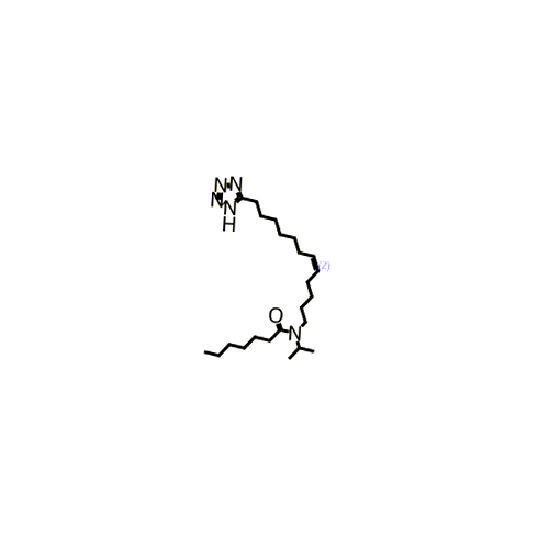 CCCCCCC(=O)N(CCCC/C=C\CCCCCCc1nnn[nH]1)C(C)C